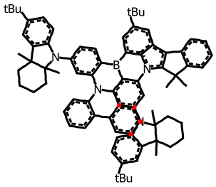 CC(C)(C)c1ccc2c(c1)C1(C)CCCCC1(C)N2c1ccc2c(c1)N(c1ccccc1-c1ccccc1)c1cc(N3c4ccc(C(C)(C)C)cc4C4(C)CCCCC34C)cc3c1B2c1cc(C(C)(C)C)cc2c4c(n-3c12)C(C)(C)c1ccccc1-4